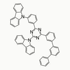 c1ccc(-c2cccc(-c3cccc(-c4nc(-c5cccc(-n6c7ccccc7c7ccccc76)c5)nc(-n5c6ccccc6c6ccccc65)n4)c3)c2)cc1